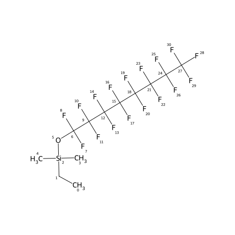 CC[Si](C)(C)OC(F)(F)C(F)(F)C(F)(F)C(F)(F)C(F)(F)C(F)(F)C(F)(F)C(F)(F)F